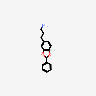 Cl.NCCCc1ccc2c(c1)OC(c1ccccc1)O2